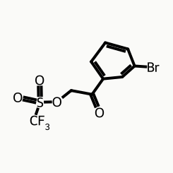 O=C(COS(=O)(=O)C(F)(F)F)c1cccc(Br)c1